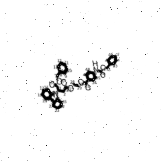 O=C(CC(C(=O)OCc1ccccc1)n1c2ccccc2c2ccccc21)OCCOC(=O)c1ccc(NC(=O)OCc2ccccc2)cc1